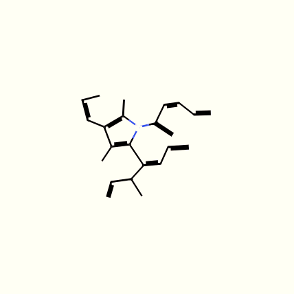 C=C/C=C\C(=C)n1c(C)c(/C=C\C)c(C)c1/C(=C\C=C)C(C)C=C